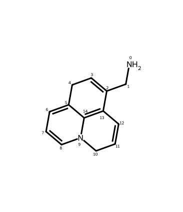 NCC1=CCC2=CC=CN3CC=CC1=C23